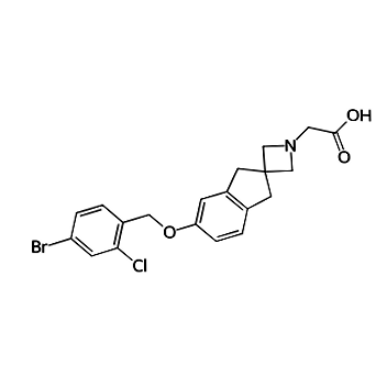 O=C(O)CN1CC2(Cc3ccc(OCc4ccc(Br)cc4Cl)cc3C2)C1